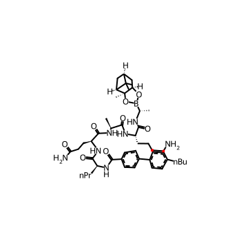 CCCCc1ccc(-c2ccc(C(=O)N[C@@H](CCC)C(=O)N[C@@H](CCC(N)=O)C(=O)N[C@@H](C)C(=O)N[C@@H](CCCCN)C(=O)N[C@@H](C)B3O[C@@H]4C[C@@H]5C[C@@H](C5(C)C)[C@]4(C)O3)cc2)cc1